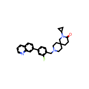 O=C1CCC2(CCN(Cc3ccc(-c4ccc5cccnc5c4)cc3F)CC2)CN1C1CC1